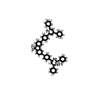 FC1(F)c2ccc(-c3ccc(C4=CC(c5ccccc5)NC(c5ccccc5)=N4)cc3)cc2-c2cc(-c3ccc(-c4cc(-c5ccccc5)cc(-c5ccccc5)n4)cc3)ccc21